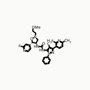 COCCN1C[C@@H](NC(=O)Nc2c(C)c(-c3ccc(C)nc3F)nn2-c2ccccc2)[C@H](c2ccnc(F)c2)O1